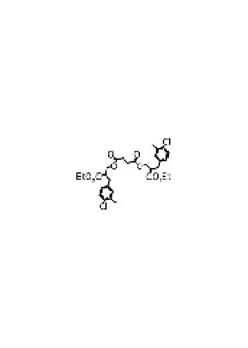 CCOC(=O)C(COC(=O)CCC(=O)OCC(Cc1ccc(Cl)c(C)c1)C(=O)OCC)Cc1ccc(Cl)c(C)c1